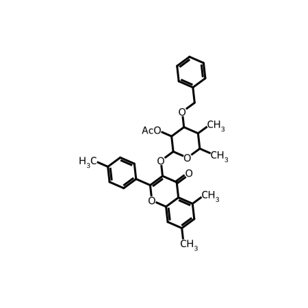 CC(=O)OC1C(Oc2c(-c3ccc(C)cc3)oc3cc(C)cc(C)c3c2=O)OC(C)C(C)C1OCc1ccccc1